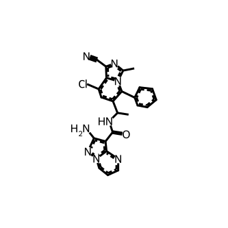 Cc1nc(C#N)c2c(Cl)cc(C(C)NC(=O)c3c(N)nn4cccnc34)c(-c3ccccc3)n12